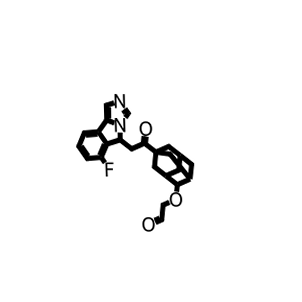 O=CCOC1C2CC3CC1CC(C(=O)CC1c4c(F)cccc4-c4cncn41)(C3)C2